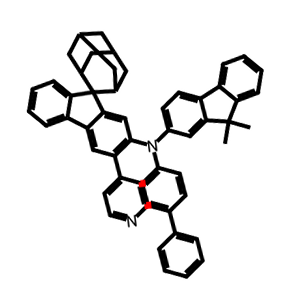 CC1(C)c2ccccc2-c2ccc(N(c3ccc(-c4ccccc4)cc3)c3cc4c(cc3-c3ccncc3)-c3ccccc3C43C4CC5CC(C4)CC3C5)cc21